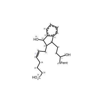 CCCCCC(O)CCC1c2ccccc2C(O)C1C/C=C\CCCC(=O)O